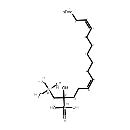 CCCCCCCCCCC/C=C\CCCCC/C=C\CCC(O)(C[N+](C)(C)C)P(=O)(O)O